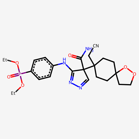 CCOP(=O)(OCC)c1ccc(NC2=NN=CC2(C(N)=O)C2(CC#N)CCC3(CCOO3)CC2)cc1